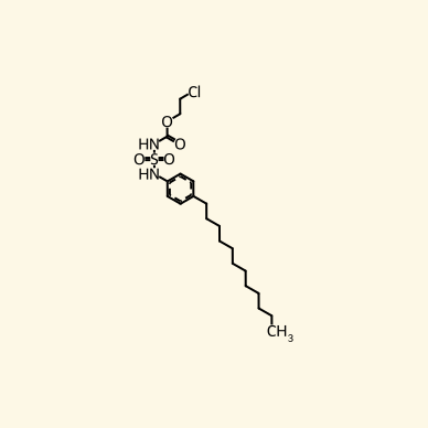 CCCCCCCCCCCCc1ccc(NS(=O)(=O)NC(=O)OCCCl)cc1